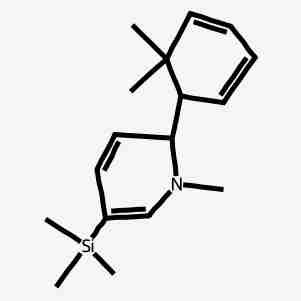 CN1C=C([Si](C)(C)C)C=CC1C1C=CC=CC1(C)C